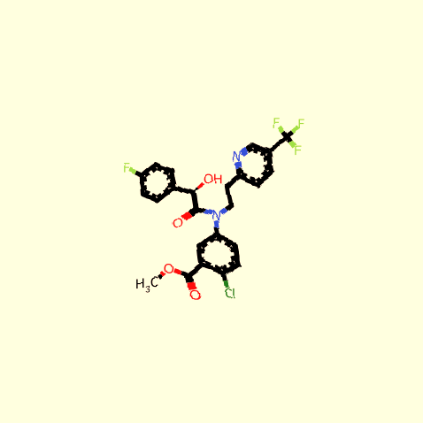 COC(=O)c1cc(N(CCc2ccc(C(F)(F)F)cn2)C(=O)[C@H](O)c2ccc(F)cc2)ccc1Cl